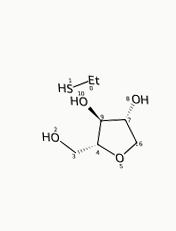 CCS.OC[C@H]1O[CH][C@@H](O)[C@@H]1O